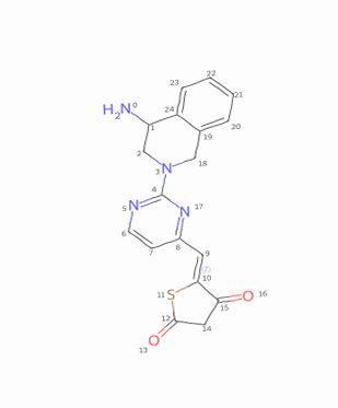 NC1CN(c2nccc(/C=C3\SC(=O)CC3=O)n2)Cc2ccccc21